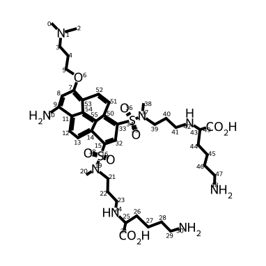 CN(C)CCCOc1cc(N)c2ccc3c(S(=O)(=O)N(C)CCCNC(CCCCN)C(=O)O)cc(S(=O)(=O)N(C)CCCNC(CCCCN)C(=O)O)c4ccc1c2c34